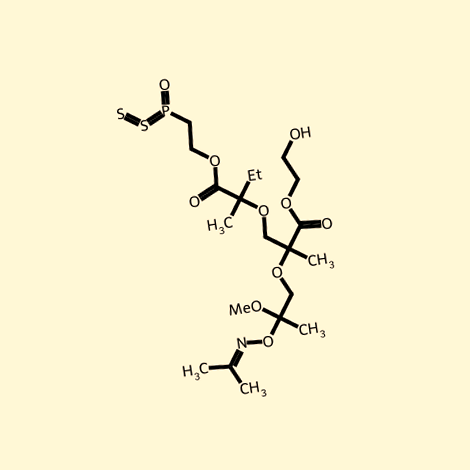 CCC(C)(OCC(C)(OCC(C)(OC)ON=C(C)C)C(=O)OCCO)C(=O)OCCP(=O)=S=S